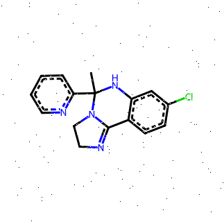 CC1(c2ccccn2)Nc2cc(Cl)ccc2C2=NCCN21